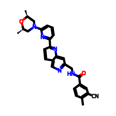 Cc1ccc(C(=O)NCc2cc3nc(-c4cccc(N5C[C@@H](C)O[C@@H](C)C5)n4)ccc3cn2)cc1C#N